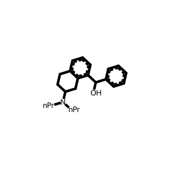 CCCN(CCC)C1CCc2cccc(C(O)c3ccccc3)c2C1